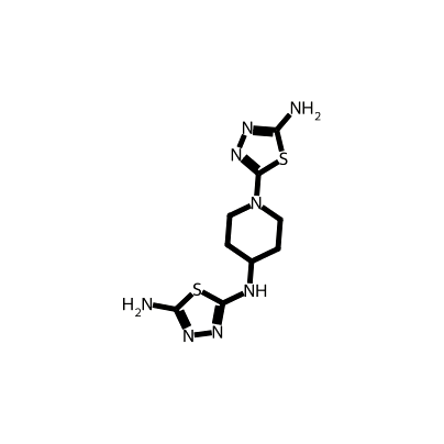 Nc1nnc(NC2CCN(c3nnc(N)s3)CC2)s1